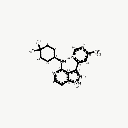 FC1(F)CCC(Nc2nccc3[nH]nc(-c4cc(C(F)(F)F)ncn4)c23)CC1